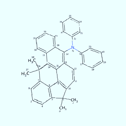 CC1(C)c2cccc3c2-c2c1ccc1c(N(c4ccccc4)c4ccccc4)c4ccccc4c(c21)C3(C)C